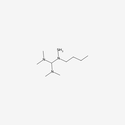 CCCCN([SiH3])C(N(C)C)N(C)C